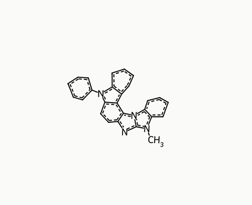 Cn1c2ccccc2n2c3c(ccc4c3c3ccccc3n4-c3ccccc3)nc12